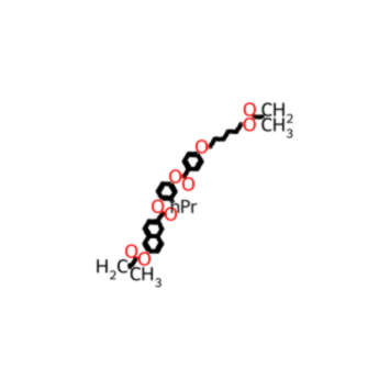 C=C(C)C(=O)OCCCCCCOc1ccc(C(=O)Oc2ccc(OC(=O)C3=CC=C4C=C(OC(=O)C(=C)C)C=CC4C3)c(CCC)c2)cc1